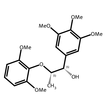 COc1cc([C@H](O)[C@H](C)Oc2c(OC)cccc2OC)cc(OC)c1OC